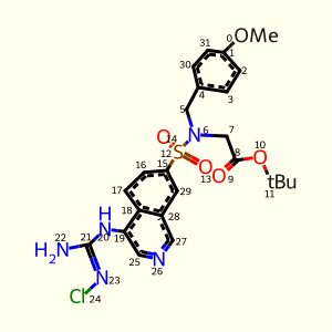 COc1ccc(CN(CC(=O)OC(C)(C)C)S(=O)(=O)c2ccc3c(NC(N)=NCl)cncc3c2)cc1